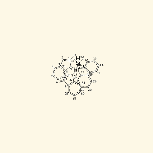 CC1=Cc2ccccc2[CH]1[Hf]([c]1ccccc1)([c]1ccccc1)([CH]1C(C)=Cc2ccccc21)[SiH](C)C